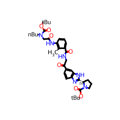 CCCCN(CC(=O)Nc1cccc(C(=O)NCC(=O)c2ccc3nc([C@@H]4CCCN4C(=O)OC(C)(C)C)[nH]c3c2)c1C)C(=O)OC(C)(C)C